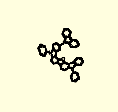 c1ccc(-n2c3ccccc3c3c4oc5c(ccc6c5c5cc(-n7c8ccccc8c8ccccc87)ccc5n6-c5ccccc5)c4ccc32)cc1